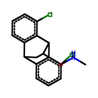 CNCC1CC2c3cccc(Cl)c3C1c1c(Cl)cccc12